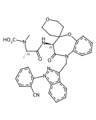 C[C@@H](C(=O)N[C@@H]1C(=O)N(Cc2nn(-c3ccccc3C#N)c3ccccc23)c2ccccc2OC12CCOCC2)N(C)C(=O)O